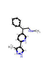 CNCC(c1ccccc1)c1ccc(-c2c[nH]nc2C)nc1